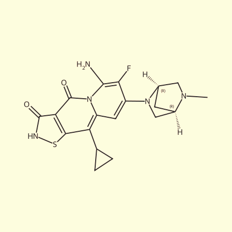 CN1C[C@H]2C[C@@H]1CN2c1cc2c(C3CC3)c3s[nH]c(=O)c3c(=O)n2c(N)c1F